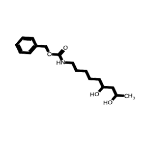 CC(O)CC(O)CCCCCNC(=O)OCc1ccccc1